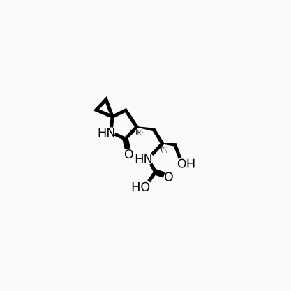 O=C(O)N[C@H](CO)C[C@@H]1CC2(CC2)NC1=O